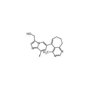 Cc1ncnc2c1C(c1cc(F)c3ncc(CO)n3c1)=CCCC2